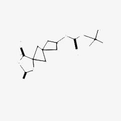 CC(C)(C)OC(=O)NC1CC2(C1)CC1(C2)NC(=O)NC1=O